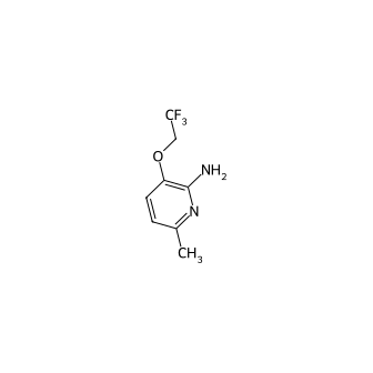 Cc1ccc(OCC(F)(F)F)c(N)n1